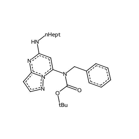 CCCCCCCNc1cc(N(Cc2ccccc2)C(=O)OC(C)(C)C)n2nccc2n1